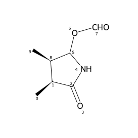 C[C@@H]1C(=O)NC(OC=O)[C@@H]1C